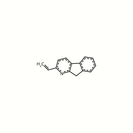 C=Cc1ccc2c(n1)Cc1ccccc1-2